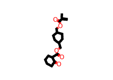 C=C(C)C(=O)OCC1CCC(COC(=O)C2CCCCC2=O)CC1